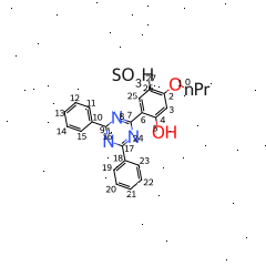 CCCOc1cc(O)c(-c2nc(-c3ccccc3)nc(-c3ccccc3)n2)cc1S(=O)(=O)O